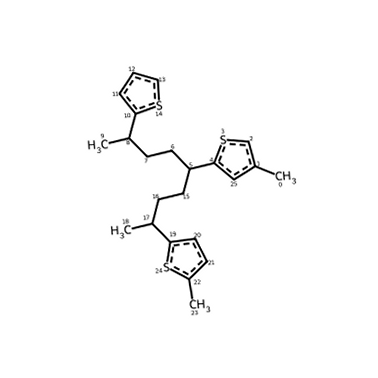 Cc1csc(C(CCC(C)c2cccs2)CCC(C)c2ccc(C)s2)c1